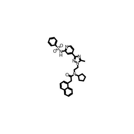 Cc1nc(-c2ccnc(NS(=O)(=O)c3ccccc3)c2)nn1CCN(C(=O)Cc1cccc2ccccc12)C1CCCC1